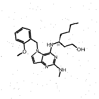 CCCC[C@@H](CCO)Nc1nc(NC)nc2ccn(Cc3ccccc3OC)c12